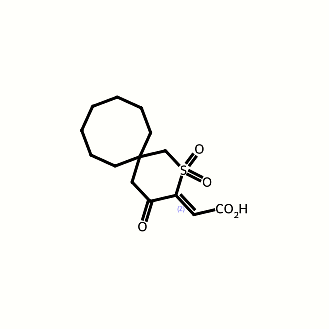 O=C(O)/C=C1/C(=O)CC2(CCCCCCC2)CS1(=O)=O